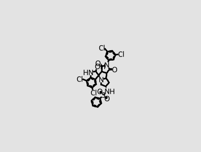 O=C1C2C3C[C@H](NS(=O)(=O)c4ccccc4)CN3C3(c4cc(Cl)cc(Cl)c4NC3O)C2C(=O)N1c1cc(Cl)cc(Cl)c1